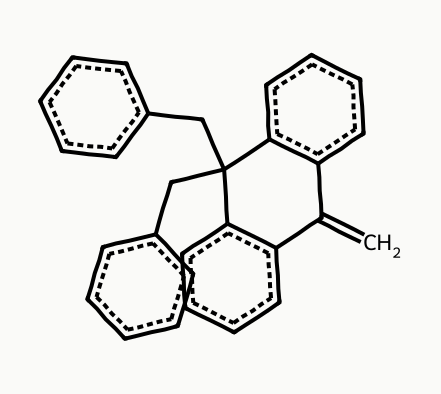 C=C1c2ccccc2C(Cc2ccccc2)(Cc2ccccc2)c2ccccc21